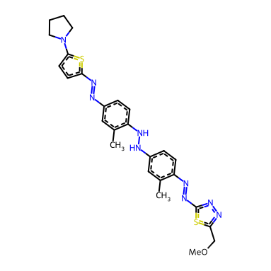 COCc1nnc(/N=N/c2ccc(NNc3ccc(/N=N/c4ccc(N5CCCC5)s4)cc3C)cc2C)s1